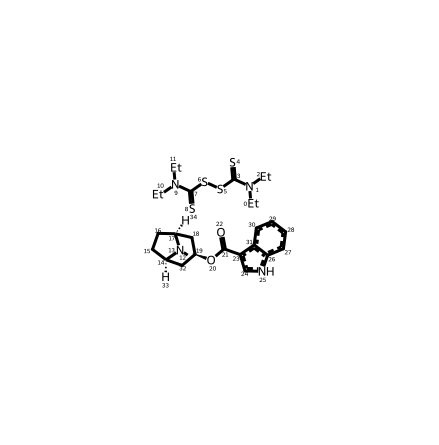 CCN(CC)C(=S)SSC(=S)N(CC)CC.CN1[C@@H]2CC[C@H]1C[C@@H](OC(=O)c1c[nH]c3ccccc13)C2